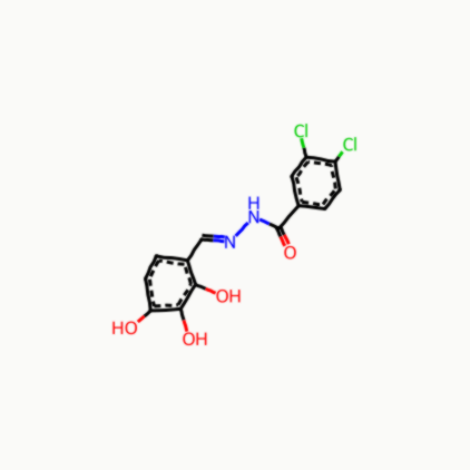 O=C(NN=Cc1ccc(O)c(O)c1O)c1ccc(Cl)c(Cl)c1